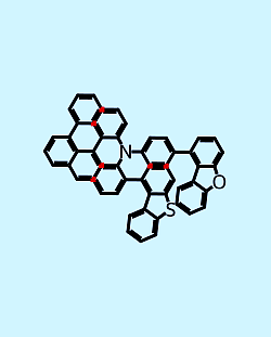 c1ccc(-c2cccc3cccc(-c4ccccc4N(c4ccc(-c5cccc6oc7ccccc7c56)cc4)c4ccccc4-c4cccc5sc6ccccc6c45)c23)cc1